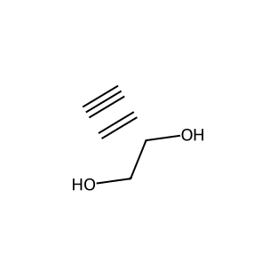 C#C.C=C.OCCO